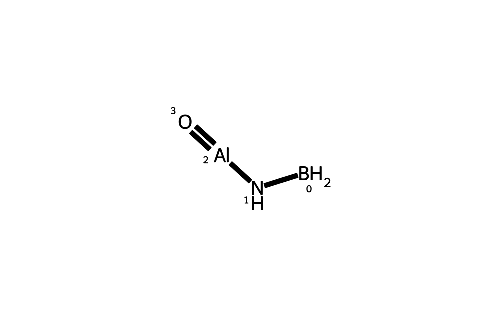 B[NH][Al]=[O]